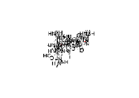 CCCC[C@H](NC(=O)[C@H](CCC(=O)O)NC(=O)[C@@H](CCCNC(=N)N)NC(=O)[C@@H]1CCCN1C(=O)[C@@H]1CCCN1C(=O)[C@H](CS)NC(=O)[C@H](Cc1c[nH]c2ccccc12)NC(=O)[C@H](CCc1c[nH]cn1)NC(=O)[C@@H](Cc1ccccc1)NC(=O)[C@H](Cc1c[nH]cn1)NC(=O)[C@@H]1CSCN1C(=O)[C@H](CS)NC(C)=O)C(=O)N[C@H](CCCNC(=N)N)C(=O)N[C@H](CCCNC(=N)N)C(N)=O